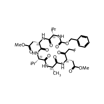 COC(=O)C[C@H](NC(=O)[C@H](C)NC(=O)[C@@H](NC(=O)[C@H](CC(=O)OC)NC(=O)[C@@H](NC(=O)OCc1ccccc1)C(C)C)C(C)C)C(=O)CF